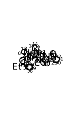 CC[C@@H](OC(=O)[C@@H]1CCCN1C(=O)[C@@H]1CCCN1C[C@H](C(C)C)N(C)C(=O)[C@@H](NC(=O)[C@H]1CCCCN1C)C(C)(C)C)c1ccccc1